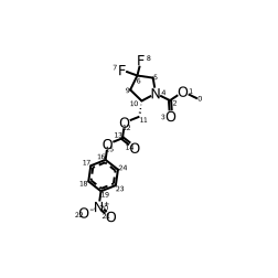 COC(=O)N1CC(F)(F)C[C@H]1COC(=O)Oc1ccc([N+](=O)[O-])cc1